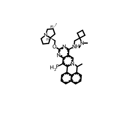 CC(C)c1cccc2cccc(-c3ncc4c(NCC5(N(C)C)CCC5)nc(OC[C@@]56CCCN5C[C@H](C)C6)nc4c3P)c12